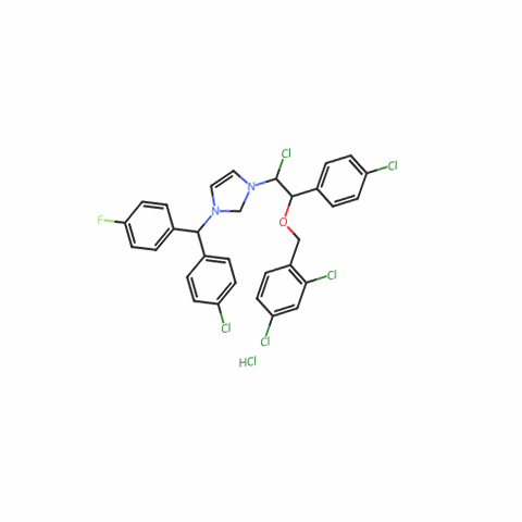 Cl.Fc1ccc(C(c2ccc(Cl)cc2)N2C=CN(C(Cl)C(OCc3ccc(Cl)cc3Cl)c3ccc(Cl)cc3)C2)cc1